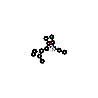 N=C(/C=C(\Nn1c2ccc(C3=CC=CCC3)cc2c2cc(C3C=Cc4c(c5cc(-c6ccccc6)ccc5n4-c4cccc5ccccc45)C3)ccc21)c1ccc(-c2ccccc2)cc1)c1ccc(-c2ccccc2)cc1